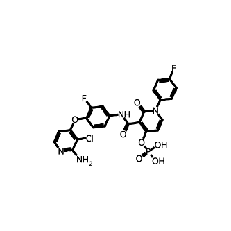 Nc1nccc(Oc2ccc(NC(=O)c3c(OP(=O)(O)O)ccn(-c4ccc(F)cc4)c3=O)cc2F)c1Cl